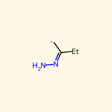 [CH]C(CC)=NN